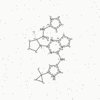 CC1(c2cc(Nc3nc(N4CCC[C@@]4(C)C(=O)Nc4nccs4)nc4cccn34)n[nH]2)CC1